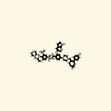 CN1c2c(cc(S(=O)(=O)NC(=O)c3ccc(N4CCN(CC5=C(c6ccc(Cl)cc6)CC(C)(C)CC5)CC4)cc3Oc3cnc4[nH]ccc4c3)cc2[N+](=O)[O-])OC[C@H]1CN1CCOCC1